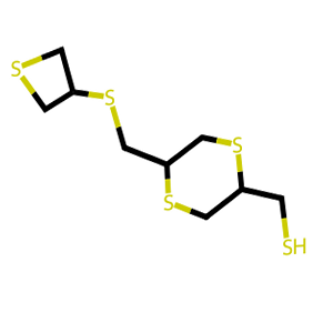 SCC1CSC(CSC2CSC2)CS1